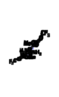 COc1cc(/C=C/C(=O)c2cc(N)ccc2-c2ccc(N)c(C)c2C(=O)/C=C/c2ccc(OC(=O)c3ccc(OCCCC(F)(F)F)cc3)c(OC)c2)ccc1OC(=O)c1ccc(OCCCC(F)(F)F)cc1